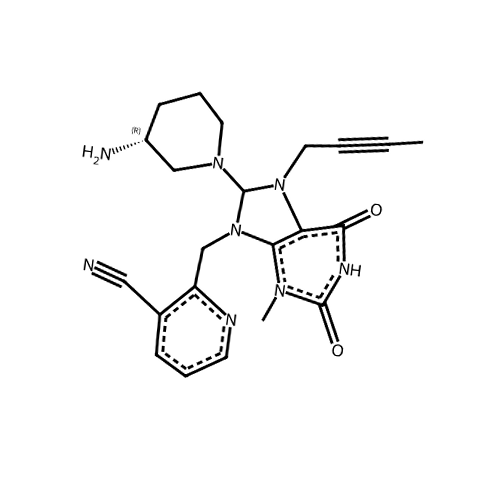 CC#CCN1c2c(n(C)c(=O)[nH]c2=O)N(Cc2ncccc2C#N)C1N1CCC[C@@H](N)C1